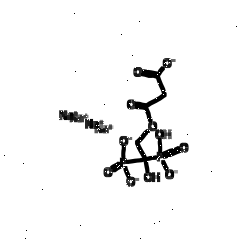 O=C([O-])CC(=O)OCC(O)(P(=O)([O-])[O-])P(=O)([O-])O.[Na+].[Na+].[Na+].[Na+]